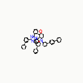 C1=CC2C(c3ccccc3N2c2cccc(-c3ccc(-c4ccccc4)cc3)c2)c2c1oc1cccc(-c3nc(-c4cccc(-c5ccccc5)c4)nc(-c4cccc(-c5ccccc5)c4)n3)c21